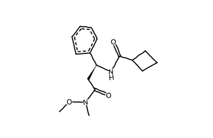 CON(C)C(=O)C[C@H](NC(=O)C1CCC1)c1ccccc1